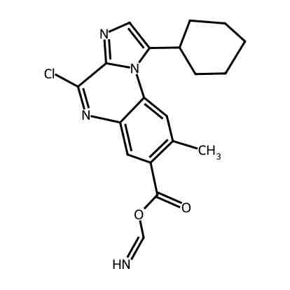 Cc1cc2c(cc1C(=O)OC=N)nc(Cl)c1ncc(C3CCCCC3)n12